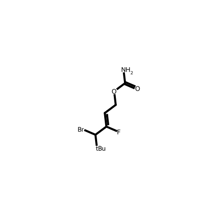 CC(C)(C)C(Br)/C(F)=C/COC(N)=O